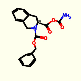 NC(=O)OC(=O)[C@@H]1Cc2ccccc2CN1C(=O)OCc1ccccc1